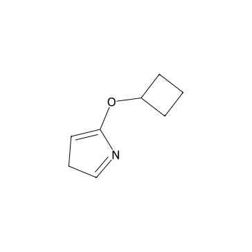 C1=NC(OC2CCC2)=CC1